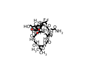 CC[C@H](C)[C@@H]1NC(=O)CNC(=O)[C@@H]2Cc3c([nH]c4ccccc34)SC[C@H](NC(=O)CNC1=O)C(=O)N[C@@H](CCC(N)=O)C(=O)N1CC(F)(F)C[C@H]1C(=O)N[C@@H]([C@@H](C)[C@@H](O)CO)C(=O)N2